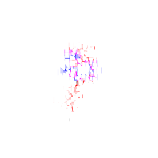 CCC(c1ccccc1)C1NC(=O)CNC(=O)C(CO)NC(=O)C(C(O)C2CNC(=N)N2C2OC(CO)C(O)C(O)C2O)NC(=O)C(C(O)C2CNC(=N)N2)NC(=O)C(Cc2ccc(OC3OC(CO)C(OC4OC5COC(C(C)CCC=C(C)C)OC5C(O)C4O)C(O)C3O)cc2)NC1=O